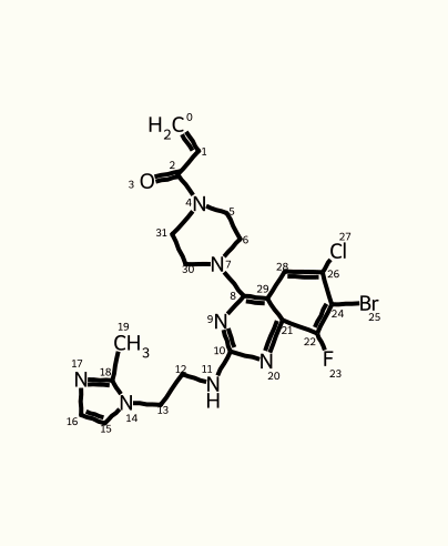 C=CC(=O)N1CCN(c2nc(NCCn3ccnc3C)nc3c(F)c(Br)c(Cl)cc23)CC1